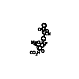 COc1c(N2CCC(=C(C#N)CN3C(=O)c4ccccc4C3=O)CC2)c(F)cc2c(=O)c(C(=O)O)cn(C3CC3)c12